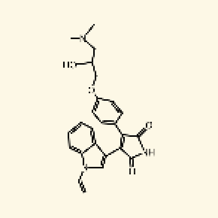 C=Cn1cc(C2=C(c3ccc(OCC(O)CN(C)C)cc3)C(=O)NC2=O)c2ccccc21